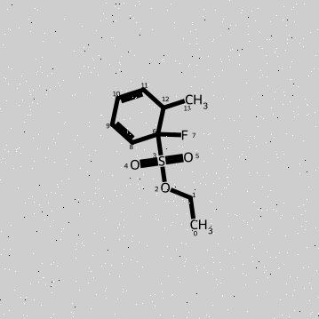 CCOS(=O)(=O)C1(F)C=CC=CC1C